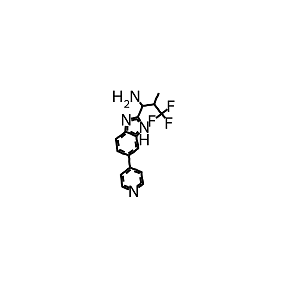 CC(C(N)c1nc2ccc(-c3ccncc3)cc2[nH]1)C(F)(F)F